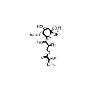 CC(=O)N[C@@H]1[C@@H](O)CC(O)(C(=O)O)O[C@H]1C(O)C(O)COC(=O)C(C)O